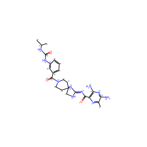 Cc1nc(C(=O)/N=C2\NCC3(CCN(C(=O)c4cccc(NC(=O)NC(C)C)c4)CC3)N2)c(N)nc1N